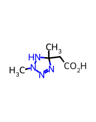 CN1N=NC(C)(CC(=O)O)N1